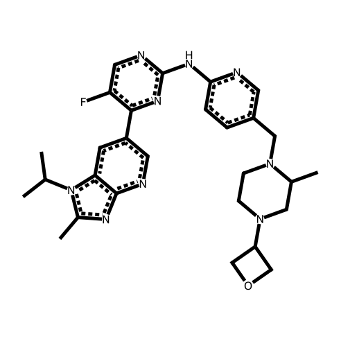 Cc1nc2ncc(-c3nc(Nc4ccc(CN5CCN(C6COC6)CC5C)cn4)ncc3F)cc2n1C(C)C